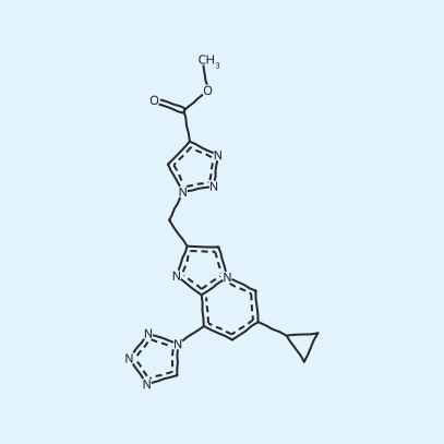 COC(=O)c1cn(Cc2cn3cc(C4CC4)cc(-n4cnnn4)c3n2)nn1